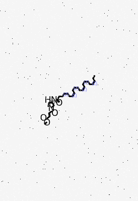 CC/C=C\C/C=C\C/C=C\C/C=C\C/C=C\C/C=C\CCC(=O)N[C@H]1CCN(C(=O)C=CC(=O)OC)C1